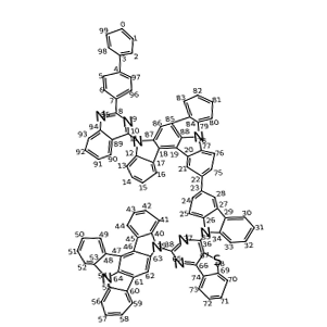 c1ccc(-c2ccc(-c3nc(-n4c5ccccc5c5c6c7cc(-c8ccc9c(c8)c8ccccc8n9-c8nc(-n9c%10ccccc%10c%10c%11c%12ccccc%12n%12c%13ccccc%13c(cc%109)c%11%12)nc9c8sc8ccccc89)ccc7n7c8ccccc8c(cc54)c67)c4ccccc4n3)cc2)cc1